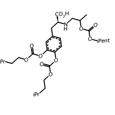 CCCC(C)OC(=O)OC(C)CN[C@@H](Cc1ccc(OC(=O)OCCC(C)C)c(OC(=O)OCCC(C)C)c1)C(=O)O